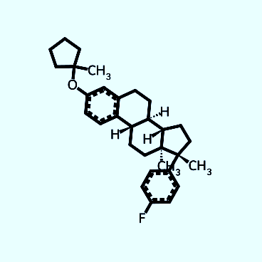 CC1(Oc2ccc3c(c2)CC[C@@H]2[C@@H]3CC[C@@]3(C)[C@H]2CC[C@]3(C)c2ccc(F)cc2)CCCC1